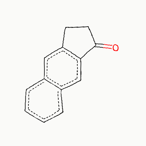 O=C1CCc2cc3ccccc3cc21